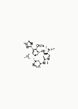 CCC(=O)c1cnc(Nc2cc(CCN(C)C)ncn2)cc1Nc1cccc(-c2ncn(C)n2)c1OC